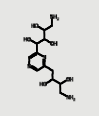 NCC(O)C(O)Cc1cncc(C(O)C(O)C(O)CN)n1